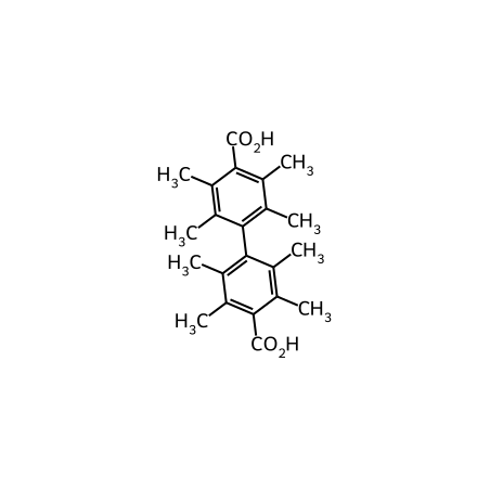 Cc1c(C)c(-c2c(C)c(C)c(C(=O)O)c(C)c2C)c(C)c(C)c1C(=O)O